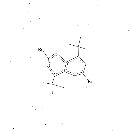 CC(C)(C)c1cc(Br)cc2c(C(C)(C)C)cc(Br)cc12